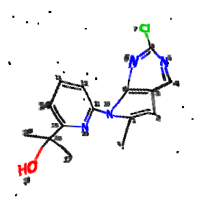 [CH2]c1cc2cnc(Cl)nc2n1-c1cccc(C(C)(C)O)n1